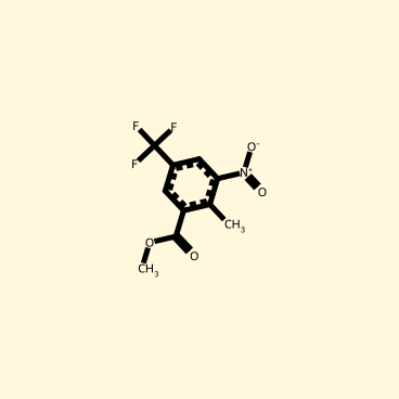 COC(=O)c1cc(C(F)(F)F)cc([N+](=O)[O-])c1C